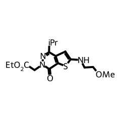 CCOC(=O)Cn1nc(C(C)C)c2cc(NCCOC)sc2c1=O